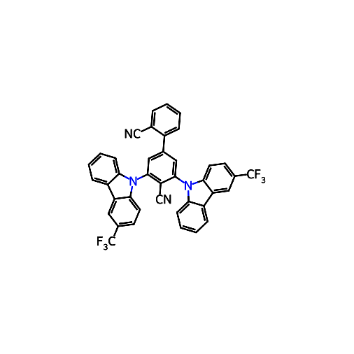 N#Cc1ccccc1-c1cc(-n2c3ccccc3c3cc(C(F)(F)F)ccc32)c(C#N)c(-n2c3ccccc3c3cc(C(F)(F)F)ccc32)c1